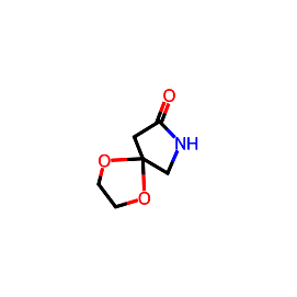 O=C1CC2(CN1)OCCO2